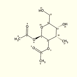 CC(=O)OC1[C@@H](OC(C)=O)OC(CO)[C@H](O)[C@@H]1C